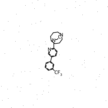 FC(F)(F)c1cccc(-c2ccc(N3CCN4CCCC3CCC4)nc2)c1